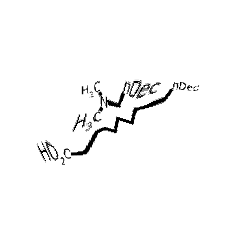 CCCCCCCCCCCCCCCCCC(=O)O.CCCCCCCCCCCN(C)C